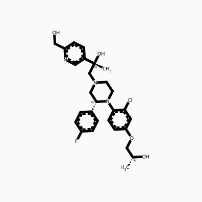 C[C@@H](O)COc1ccc(N2CCN(C[C@@](C)(O)c3ccc(CO)nc3)C[C@H]2c2ccc(F)cc2)c(Cl)c1